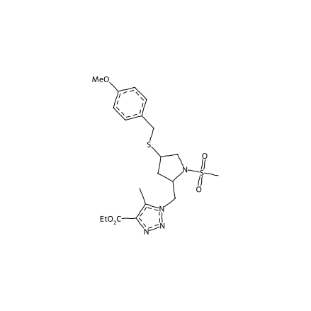 CCOC(=O)c1nnn(CC2CC(SCc3ccc(OC)cc3)CN2S(C)(=O)=O)c1C